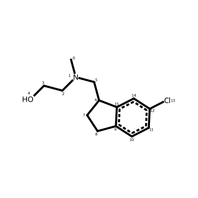 CN(CCO)CC1CCc2ccc(Cl)cc21